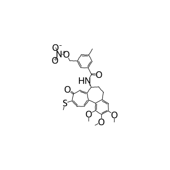 COc1cc2c(c(OC)c1OC)-c1ccc(SC)c(=O)cc1[C@@H](NC(=O)c1cc(C)cc(CO[N+](=O)[O-])c1)CC2